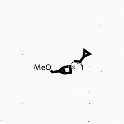 COCC1=C2C1C[C@H]2C[C@@H](I)C1CC1